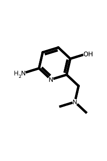 CN(C)Cc1nc(N)ccc1O